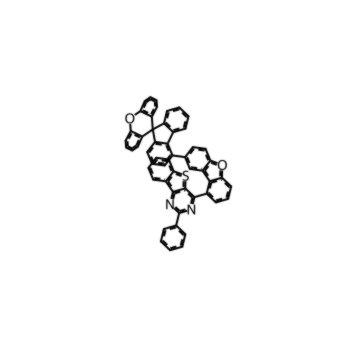 c1ccc(-c2nc(-c3cccc4oc5ccc(-c6cccc7c6-c6ccccc6C76c7ccccc7Oc7ccccc76)cc5c34)c3sc4ccccc4c3n2)cc1